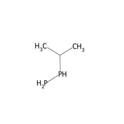 CC(C)PP